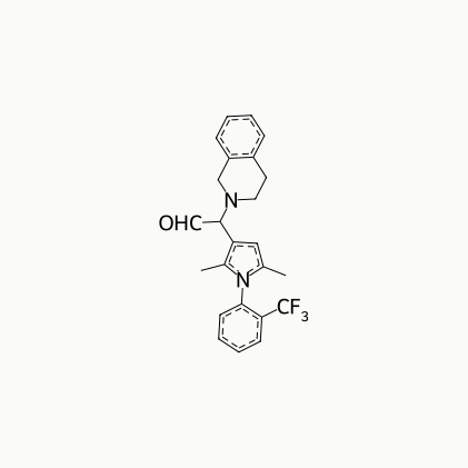 Cc1cc(C(C=O)N2CCc3ccccc3C2)c(C)n1-c1ccccc1C(F)(F)F